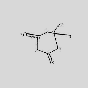 C=C1CC(=O)CC(C)(C)C1